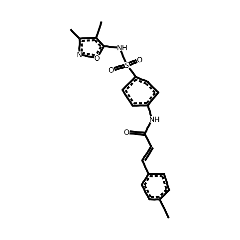 Cc1ccc(/C=C/C(=O)Nc2ccc(S(=O)(=O)Nc3onc(C)c3C)cc2)cc1